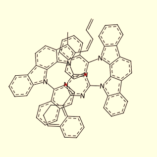 C=C/C=C\c1c(C)c2ccc3c4ccccc4n(-c4cccc5ccccc45)c3c2n1-c1nc(C2=c3ccccc3=CCC2)nc(-n2c3ccccc3c3ccc4c5ccccc5n(-c5cccc6ccccc56)c4c32)n1